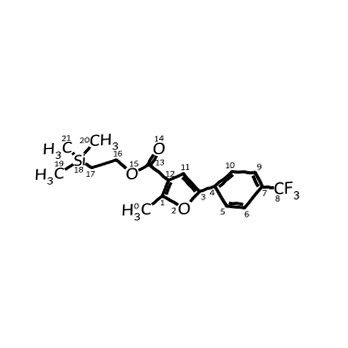 Cc1oc(-c2ccc(C(F)(F)F)cc2)cc1C(=O)OCC[Si](C)(C)C